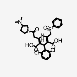 CN(C)C1CCN(C(=O)CC2=C(C(=O)O)C(c3c(Cl)cccc3Cl)C(C(=O)O)=C(C[S@+]([O-])c3ccccc3)N2)C1